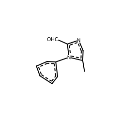 Cc1cnc(C=O)n1-c1ccccc1